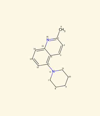 Cc1ccc2c(N3CCCCC3)cccc2n1